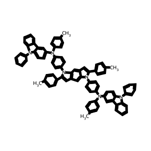 Cc1ccc(-c2cc3cc4c(cc(-c5ccc(C)cc5)n4-c4ccc(N(c5ccc(C)cc5)c5ccc6c(c5)c5ccccc5n6-c5ccccc5)cc4)cc3n2-c2ccc(N(c3ccc(C)cc3)c3ccc4c(c3)c3ccccc3n4-c3ccccc3)cc2)cc1